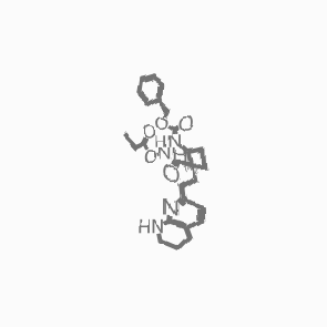 CCC(=O)ONC(=O)[C@@]1(CCc2ccc3c(n2)NCCC3)CCC1NC(=O)OCc1ccccc1